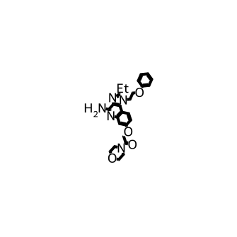 CCc1nc2c(N)nc3cc(OCC(=O)N4CCOCC4)ccc3c2n1CCOc1ccccc1